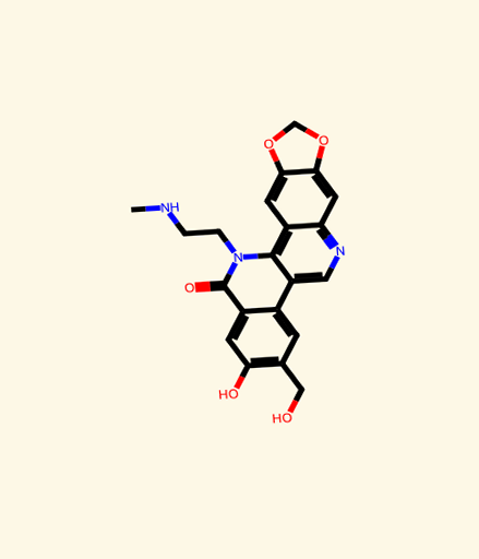 CNCCn1c(=O)c2cc(O)c(CO)cc2c2cnc3cc4c(cc3c21)OCO4